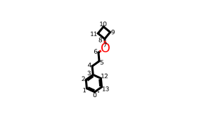 [c]1ccc(CCCOC2CCC2)cc1